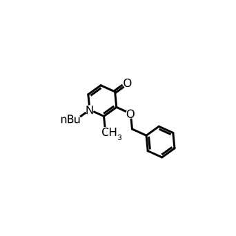 CCCCn1ccc(=O)c(OCc2ccccc2)c1C